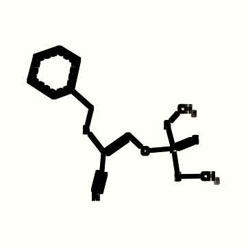 CSP(=S)(OC=C(C#N)SCc1ccccc1)SC